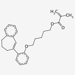 C=C(C)C(=O)OCCCCCOc1ccccc1C1=Cc2ccccc2CCC1